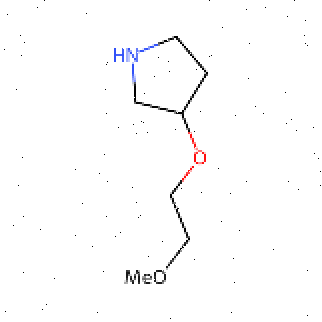 COCCOC1CCNC1